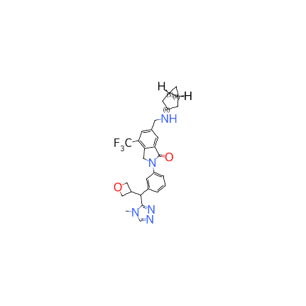 Cn1cnnc1C(c1cccc(N2Cc3c(cc(CN[C@@H]4C[C@@H]5C[C@@H]5C4)cc3C(F)(F)F)C2=O)c1)C1COC1